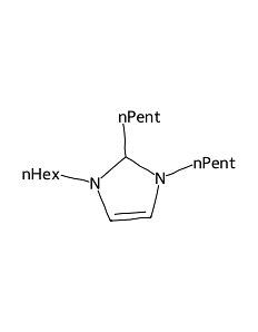 CCCCCCN1C=CN(CCCCC)C1CCCCC